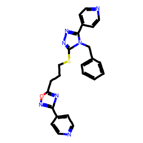 c1ccc(Cn2c(SCCCc3nc(-c4ccncc4)no3)nnc2-c2ccncc2)cc1